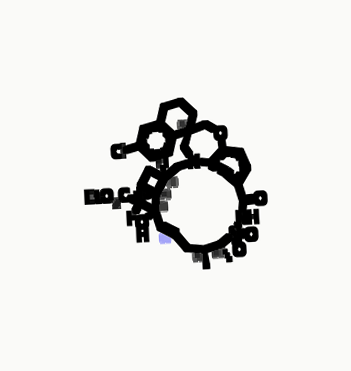 CCOC(=O)C(F)(F)[C@@]1(O)/C=C/C[C@H](C)[C@@H](C)S(=O)(=O)NC(=O)c2ccc3c(c2)N(C[C@@H]2CC[C@H]21)C[C@@]1(CCCc2cc(Cl)ccc21)CO3